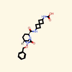 O=C(O)NC1CC2(C1)CC(NC(=O)[C@@H]1CC[C@@H]3CN1C(=O)N3OCc1ccccc1)C2